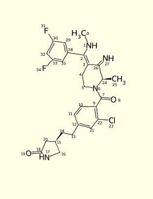 CN/C(=C1/CCN(C(=O)c2ccc(CC[C@H]3CNC(=O)C3)cc2Cl)[C@H](C)C1=N)c1cc(F)cc(F)c1